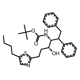 CCCCc1cnc(CC[C@H](O)[C@@H](NC(=O)OC(C)(C)C)C(Cc2ccccc2)c2ccccc2)s1